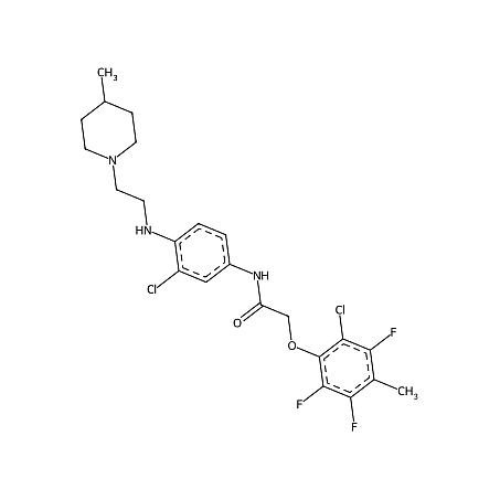 Cc1c(F)c(F)c(OCC(=O)Nc2ccc(NCCN3CCC(C)CC3)c(Cl)c2)c(Cl)c1F